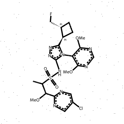 COc1ncnc(OC)c1-n1c(NS(=O)(=O)C(C)C(OC)c2ncc(Cl)cn2)nnc1[C@@H]1CC[C@H]1CF